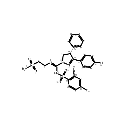 NS(=O)(=O)CC/N=C(\NS(=O)(=O)c1ccc(F)cc1F)N1C[C@H](c2ccccc2)C(c2ccc(Cl)cc2)=N1